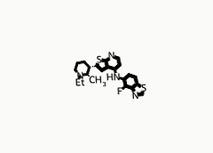 CCN1CCC[C@H](c2cc3c(Nc4ccc5scnc5c4F)ccnc3s2)[C@@H]1C